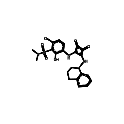 CN(C)S(=O)(=O)c1c(Cl)ccc(Nc2c(N[C@@H]3CCCc4ccccc43)c(=O)c2=O)c1O